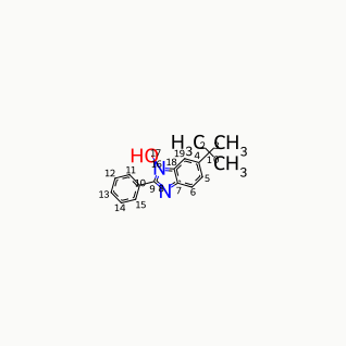 CC(C)(C)c1ccc2nc(-c3ccccc3)n(O)c2c1